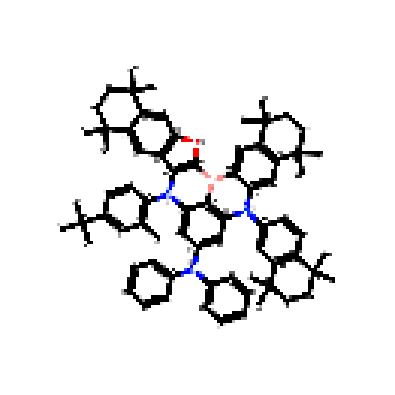 Cc1cc(C(C)(C)C)ccc1N1c2cc(N(c3ccccc3)c3ccccc3)cc3c2B(c2cc4c(cc2N3c2ccc3c(c2)C(C)(C)CCC3(C)C)C(C)(C)CCC4(C)C)c2oc3cc4c(cc3c21)C(C)(C)CCC4(C)C